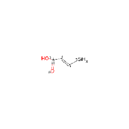 O=C(O)C=C[SiH3]